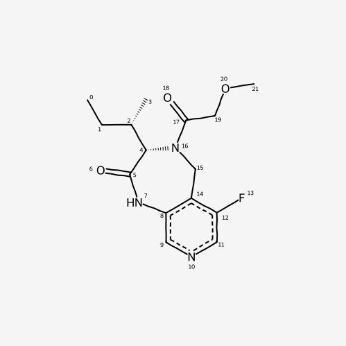 CC[C@H](C)[C@H]1C(=O)Nc2cncc(F)c2CN1C(=O)COC